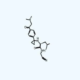 CC(C)C[C@H](NC1(c2ccc(C(=O)CN(C)C)cc2)CC1)C(=O)NCC#N